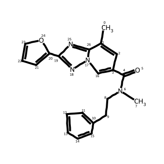 Cc1cc(C(=O)N(C)CCc2ccccc2)cn2nc(-c3ccco3)nc12